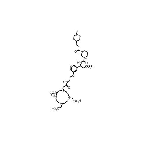 O=C(O)CC(NC(=O)[C@@H]1CCCN(C(=O)CCC2CCNCC2)C1)c1cncc(OCCNC(=O)CN2CCN(CC(=O)O)CCN(CC(=O)O)CCN(CC(=O)O)CC2)c1